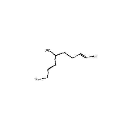 CCC=CCCC(C#N)CCCC(C)C